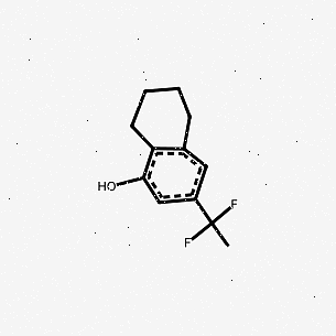 CC(F)(F)c1cc(O)c2c(c1)CCCC2